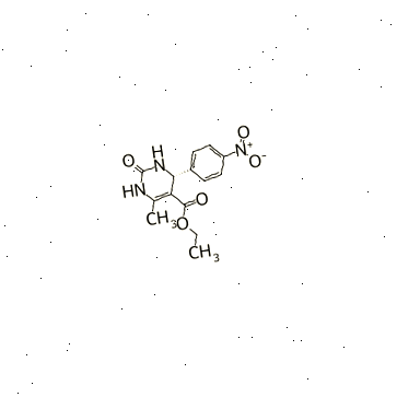 CCOC(=O)C1=C(C)NC(=O)N[C@@H]1c1ccc([N+](=O)[O-])cc1